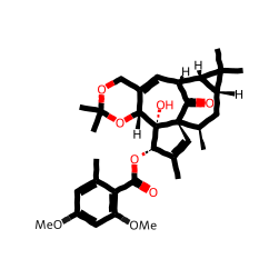 COc1cc(C)c(C(=O)O[C@H]2C(C)=C[C@]34C(=O)[C@@H](C=C5COC(C)(C)O[C@H]5[C@]23O)[C@H]2[C@@H](C[C@H]4C)C2(C)C)c(OC)c1